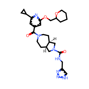 O=C(NCc1c[nH]nn1)N1C[C@H]2CCN(C(=O)c3cc(OCC4CCCCO4)nc(C4CC4)c3)CC[C@H]2C1